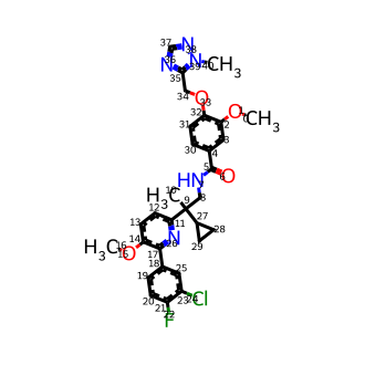 COc1cc(C(=O)NCC(C)(c2ccc(OC)c(-c3ccc(F)c(Cl)c3)n2)C2CC2)ccc1OCc1ncnn1C